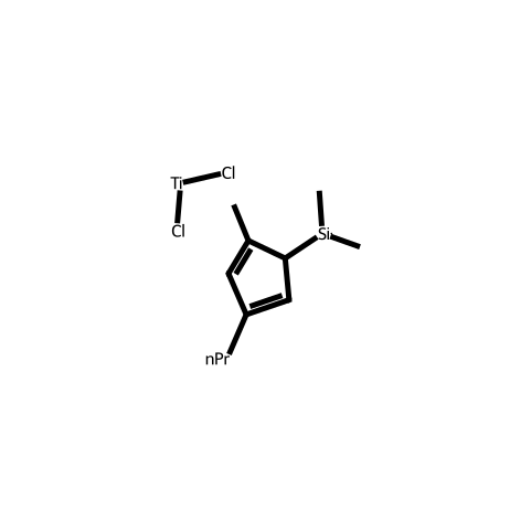 CCCC1=CC([Si](C)C)C(C)=C1.[Cl][Ti][Cl]